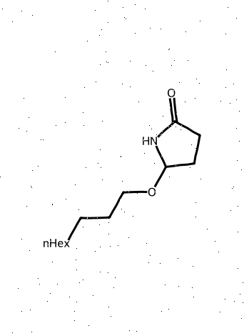 CCCCCCCCCOC1CCC(=O)N1